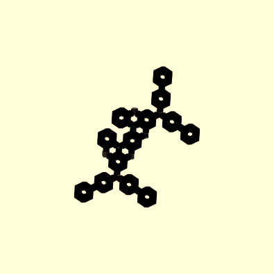 c1ccc(-c2ccc(N(c3ccc(-c4ccccc4)cc3)c3cc4c5c(c3)Sc3cc6c(cc3B5c3ccccc3O4)B3c4ccccc4Oc4cc(N(c5ccc(-c7ccccc7)cc5)c5ccc(-c7ccccc7)cc5)cc(c43)S6)cc2)cc1